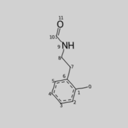 Cc1ccccc1CCN[C]=O